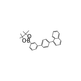 CC1(C)OB(c2cccc(-c3ccc(-c4cccc5ccccc45)cc3)c2)OC1(C)C